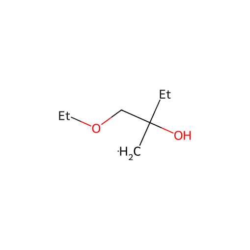 [CH2]C(O)(CC)COCC